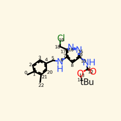 Cc1ccc(CNc2cc(NC(=O)OC(C)(C)C)nnc2CCl)cc1C